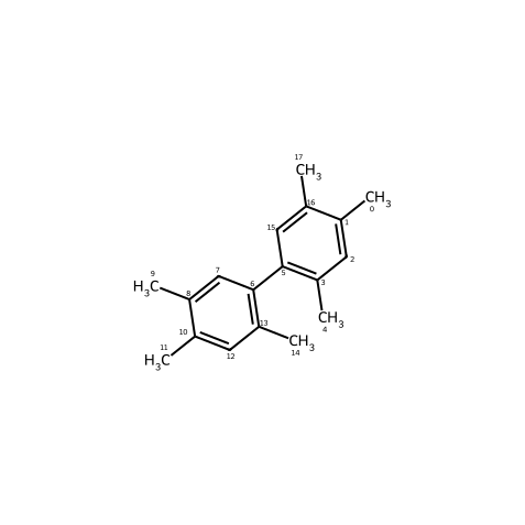 Cc1cc(C)c(-c2cc(C)c(C)cc2C)cc1C